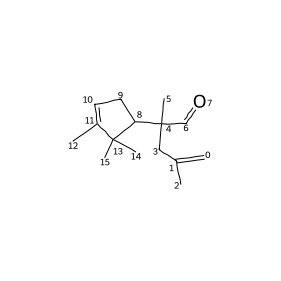 C=C(C)CC(C)(C=O)C1CC=C(C)C1(C)C